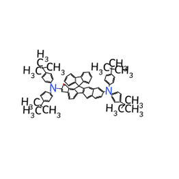 CC(C)(C)c1ccc(N(c2ccc(C(C)(C)C)cc2)c2ccc3cc4c(cc3c2)C2(c3ccccc3-c3ccccc32)c2c-4ccc3cc(N(c4ccc(C(C)(C)C)cc4)c4ccc(C(C)(C)C)cc4)ccc23)cc1